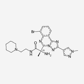 Cn1cc(-c2nc3c4cccc(Br)c4nc([C@](C)(N)C(=O)NCCN4CCCCC4)n3n2)cn1